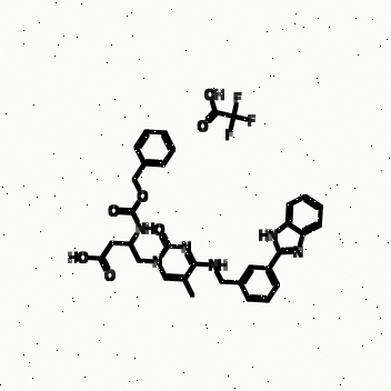 Cc1cn(CC(CC(=O)O)NC(=O)OCc2ccccc2)c(=O)nc1NCc1cccc(-c2nc3ccccc3[nH]2)c1.O=C(O)C(F)(F)F